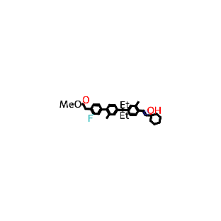 CCC(CC)(c1ccc(/C=C/C2(O)CCCCC2)c(C)c1)c1ccc(-c2ccc(CC(=O)OC)c(F)c2)c(C)c1